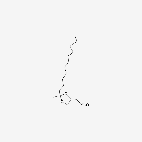 CCCCCCCCCCCC1(C)OCC(CN=O)O1